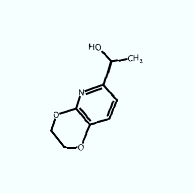 CC(O)c1ccc2c(n1)OCCO2